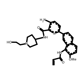 C=CC(=O)Nc1c(OC)ccc2ccc(-c3ccc(N)c(C(=O)NC4CCN(CCO)CC4)n3)cc12